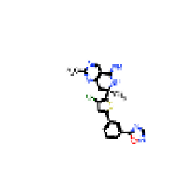 Cc1ncc2c(n1)C[C@@](C)(c1sc(-c3cccc(-c4ncno4)c3)cc1Cl)NC2=N